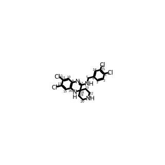 Clc1ccc(CNC2=Nc3cc(Cl)c(Cl)cc3NC23CCNCC3)cc1Cl